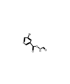 O=CNOC(=O)c1cncc(Br)c1